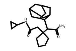 NC(=O)C(C1C2CC3CC(C2)CC1C3)C1(CC(=O)NC2CC2)CCCC1